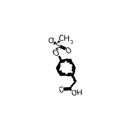 CS(=O)(=O)Oc1ccc(CC(=O)O)cc1